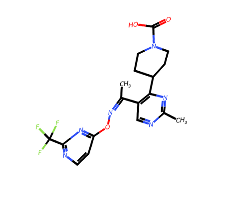 CC(=NOc1ccnc(C(F)(F)F)n1)c1cnc(C)nc1C1CCN(C(=O)O)CC1